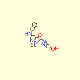 CCn1cc(Cn2cc(CCO)nn2)c(=O)c2cc(NC3Cc4ccccc4C3)cnc21